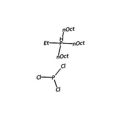 CCCCCCCC[PH](CC)(CCCCCCCC)CCCCCCCC.ClP(Cl)Cl